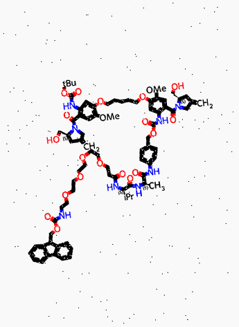 C=C1C[C@@H](CO)N(C(=O)c2cc(OC)c(OCCCCCOc3cc(NC(=O)OC(C)(C)C)c(C(=O)N4CC(=C)C[C@H]4CO)cc3OC)cc2NC(=O)OCc2ccc(NC(=O)[C@H](C)NC(=O)[C@@H](NC(=O)CCOCCOCCOCCOCCNC(=O)OCC3c4ccccc4-c4ccccc43)C(C)C)cc2)C1